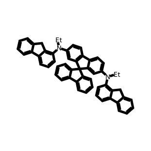 CCN(c1ccc2c(c1)C1(c3ccccc3-c3ccccc31)c1cc(N(CC)c3cccc4c3Cc3ccccc3-4)ccc1-2)c1cccc2c1Cc1ccccc1-2